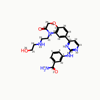 NC(=O)c1cccc(Nc2nccc(-c3ccc4c(c3)N(CCNCCO)C(=O)CO4)n2)c1